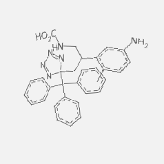 Cc1ccc(N)cc1C(CNC(=O)O)CC1(C(c2ccccc2)(c2ccccc2)c2ccccc2)N=NN=N1